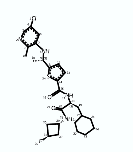 Cc1ncc(Cl)cc1N[C@@H](C)c1ccc(C(=O)N[C@@H](CC2CCCCC2)C(=O)N[C@H]2C[C@H](F)C2)s1